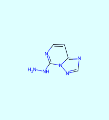 NNc1nccc2ncnn12